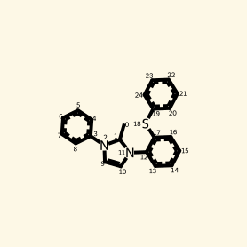 CC1N(c2ccccc2)C=CN1c1ccccc1Sc1ccccc1